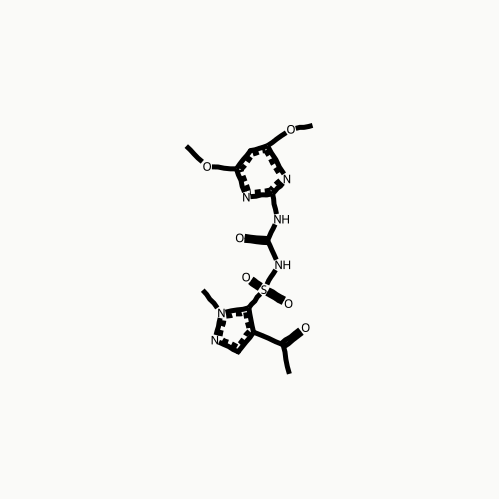 COc1cc(OC)nc(NC(=O)NS(=O)(=O)c2c(C(C)=O)cnn2C)n1